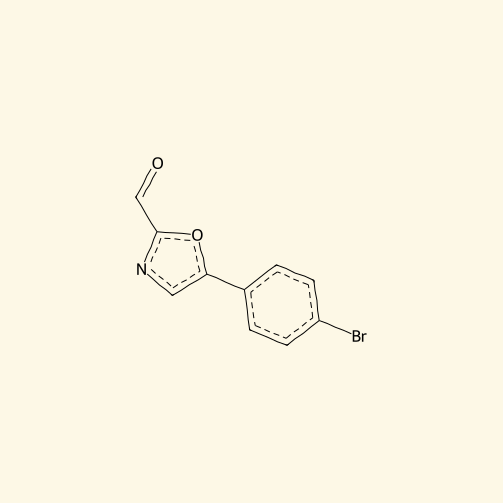 O=Cc1ncc(-c2ccc(Br)cc2)o1